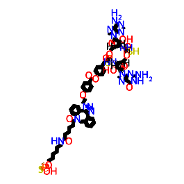 CP(O)(=S)OCCCCCCNC(=O)CCCCC(=O)N1Cc2ccccc2-c2nnn(CCOc3ccc(C(=O)Oc4ccc(CS[P@]5(=O)N[C@H]6[C@@H](O)[C@H](n7cnc8c(=O)[nH]c(N)nc87)O[C@@H]6CO[P@@](=O)(S)N[C@H]6[C@@H](O)[C@H](n7cnc8c(N)ncnc87)O[C@@H]6CO5)cc4)cc3)c2-c2ccccc21